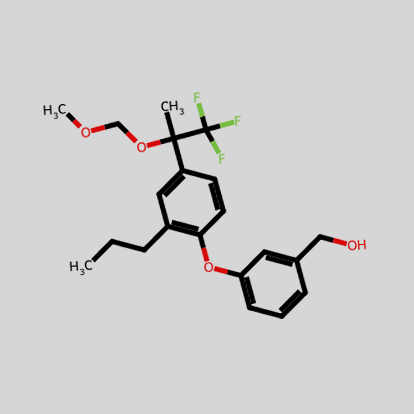 CCCc1cc(C(C)(OCOC)C(F)(F)F)ccc1Oc1cccc(CO)c1